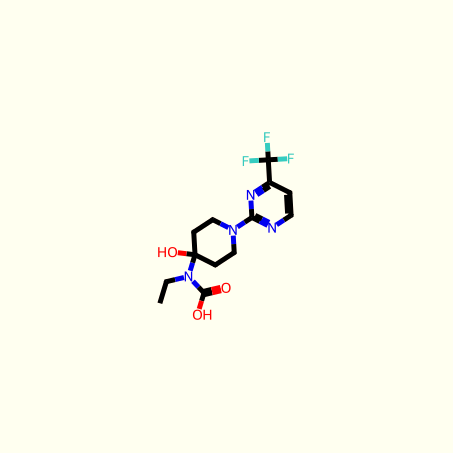 CCN(C(=O)O)C1(O)CCN(c2nccc(C(F)(F)F)n2)CC1